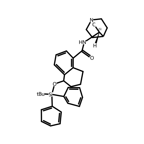 CC(C)(C)[Si](OC1CCCc2c(C(=O)N[C@@H]3CN4CCC3CC4)cccc21)(c1ccccc1)c1ccccc1